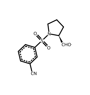 N#Cc1cccc(S(=O)(=O)N2CCC[C@H]2[C]=O)c1